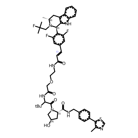 Cc1ncsc1-c1ccc(CNC(=O)[C@@H]2C[C@@H](O)CN2C(=O)C(NC(=O)COCCNC(=O)/C=C/c2cc(F)c([C@@H]3c4[nH]c5ccccc5c4C[C@@H](C)N3CC(C)(C)F)c(F)c2)C(C)(C)C)cc1